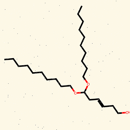 CCCCCCCCCCOC(C/C=C/CCO)OCCCCCCCCCC